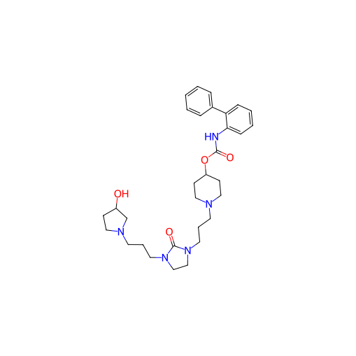 O=C(Nc1ccccc1-c1ccccc1)OC1CCN(CCCN2CCN(CCCN3CCC(O)C3)C2=O)CC1